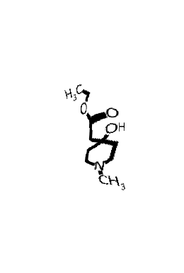 CCOC(=O)CC1(O)CCN(C)CC1